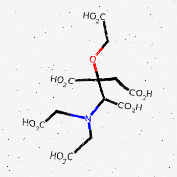 O=C(O)COC(CC(=O)O)(C(=O)O)C(C(=O)O)N(CC(=O)O)CC(=O)O